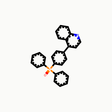 O=P(c1ccccc1)(c1ccccc1)c1ccc(-c2ccnc3ccccc23)cc1